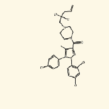 C=CCC(CC)(CC)CN1CCN(C(=O)c2nn(-c3ccc(Cl)cc3Cl)c(-c3ccc(Cl)cc3)c2C)CC1